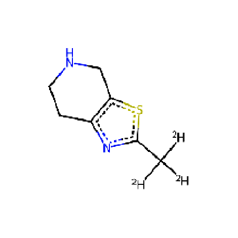 [2H]C([2H])([2H])c1nc2c(s1)CNCC2